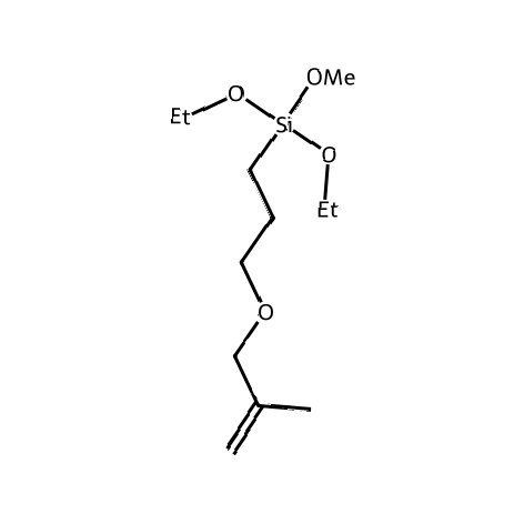 C=C(C)COCCC[Si](OC)(OCC)OCC